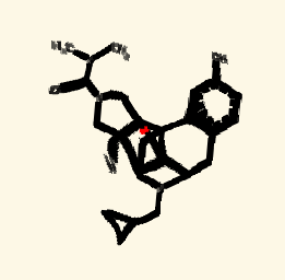 CN(C)C(=O)N1C[C@H]2CC34CCC1C2C31CCN(CC2CC2)C4Cc2ccc(O)cc21